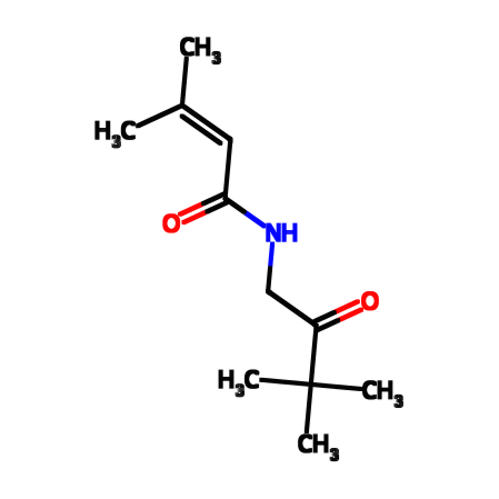 CC(C)=CC(=O)NCC(=O)C(C)(C)C